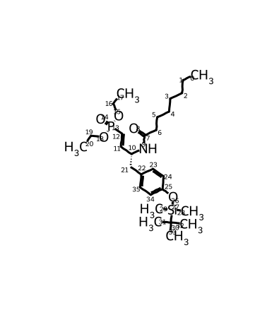 CCCCCCCC(=O)N[C@@H](/C=C/P(=O)(OCC)OCC)Cc1ccc(O[Si](C)(C)C(C)(C)C)cc1